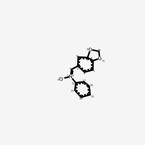 [O-]/[N+](=C/c1ccc2c(c1)OCO2)c1ccccc1